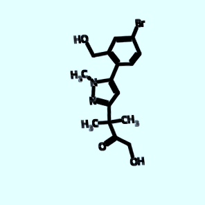 Cn1nc(C(C)(C)C(=O)CO)cc1-c1ccc(Br)cc1CO